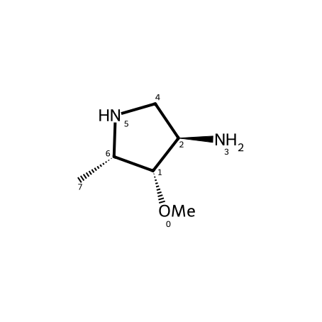 CO[C@H]1[C@H](N)CN[C@H]1C